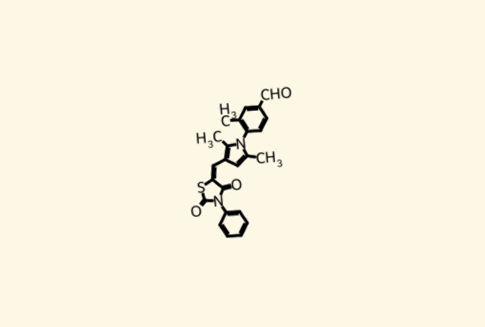 Cc1cc(C=O)ccc1-n1c(C)cc(C=C2SC(=O)N(c3ccccc3)C2=O)c1C